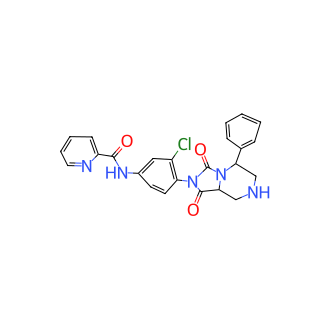 O=C(Nc1ccc(N2C(=O)C3CNCC(c4ccccc4)N3C2=O)c(Cl)c1)c1ccccn1